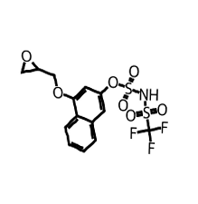 O=S(=O)(NS(=O)(=O)C(F)(F)F)Oc1cc(OCC2CO2)c2ccccc2c1